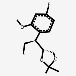 [CH2]C[C@@H](c1ccc(F)cc1OC)[C@@H]1COC(C)(C)O1